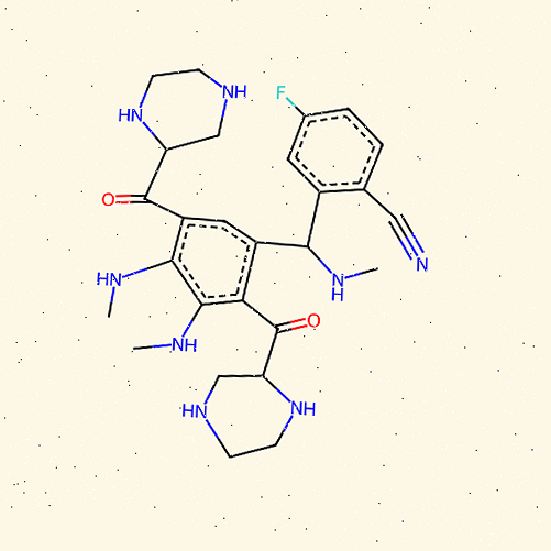 CNc1c(C(=O)C2CNCCN2)cc(C(NC)c2cc(F)ccc2C#N)c(C(=O)C2CNCCN2)c1NC